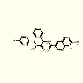 CN(Cc1ccc(F)cc1)C(=O)C(NC(=O)c1ccc2nc(N)ccc2c1)c1ccccc1